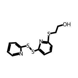 OCCSc1cccc(SSc2ccccn2)n1